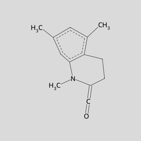 Cc1cc(C)c2c(c1)N(C)C(=C=O)CC2